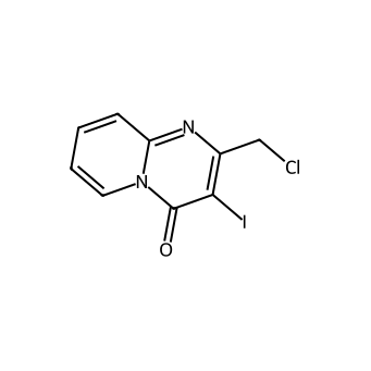 O=c1c(I)c(CCl)nc2ccccn12